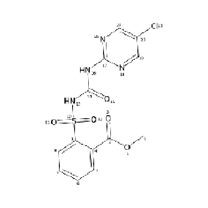 COC(=O)c1ccccc1S(=O)(=O)NC(=O)Nc1ncc(Cl)cn1